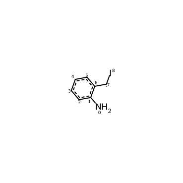 Nc1ccccc1[CH]I